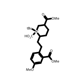 COC(=O)c1cc(OC)ccc1CCC1CCC(C(=O)OC)C[N+]1(C(=O)O)C(C)(C)C